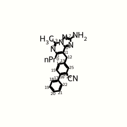 CCCc1nc(C)n2nc(N)nc2c1Cc1ccc(-c2ccccc2)c(C#N)c1